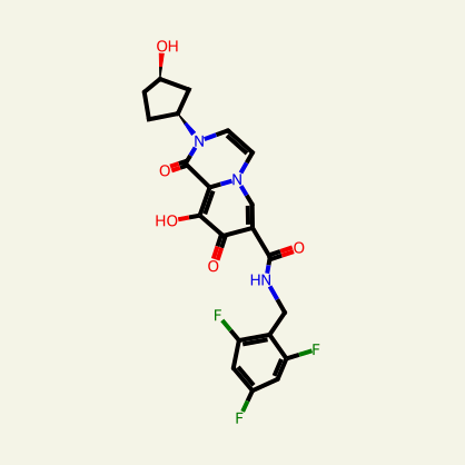 O=C(NCc1c(F)cc(F)cc1F)c1cn2ccn([C@H]3CC[C@@H](O)C3)c(=O)c2c(O)c1=O